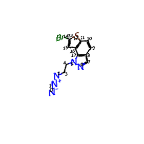 [N-]=[N+]=NCCn1ncc2ccc3sc(Br)cc3c21